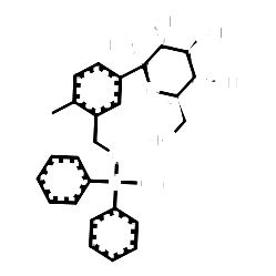 Cc1ccc([C@]2(O)O[C@H](CO)[C@@H](O)[C@H](O)[C@H]2O)cc1CO[Si](c1ccccc1)(c1ccccc1)C(C)(C)C